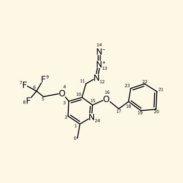 Cc1cc(OCC(F)(F)F)c(CN=[N+]=[N-])c(OCc2ccccc2)n1